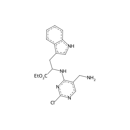 CCOC(=O)C(Cc1c[nH]c2ccccc12)Nc1nc(Cl)ncc1CN